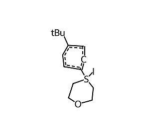 CC(C)(C)c1ccc(S2(I)CCOCC2)cc1